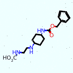 O=C(O)NCCN[C@H]1CC[C@H](NC(=O)OCc2ccccc2)CC1